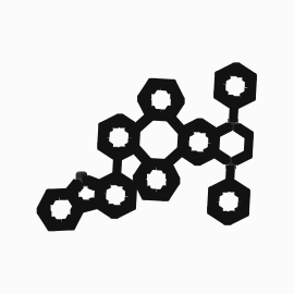 c1ccc(N2CCN(c3ccccc3)c3cc4c(cc32)-c2ccccc2-c2cccc(-c3cccc5c3oc3ccccc35)c2-c2ccccc2-4)cc1